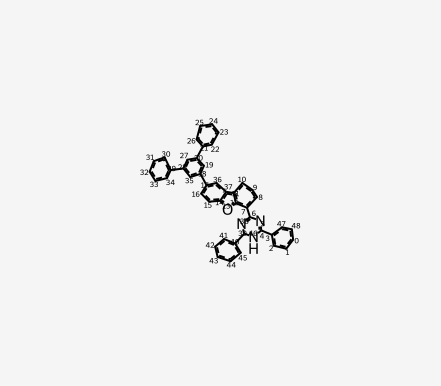 c1ccc(C2=NC(c3cccc4c3oc3ccc(-c5cc(-c6ccccc6)cc(-c6ccccc6)c5)cc34)=NC(c3ccccc3)N2)cc1